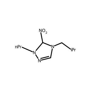 CCCN1N=CN(CC(C)C)C1[N+](=O)[O-]